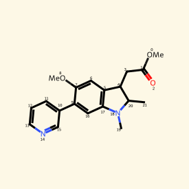 COC(=O)CC1c2cc(OC)c(-c3cccnc3)cc2N(C)C1C